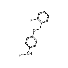 CC(C)Nc1ccc(OCc2ccccc2F)cc1